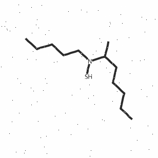 CCCCCC(C)N(S)CCCCC